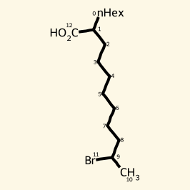 CCCCCCC(CCCCCCCC(C)Br)C(=O)O